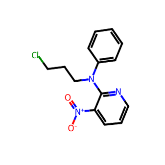 O=[N+]([O-])c1cccnc1N(CCCCl)c1ccccc1